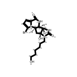 O=C1N[C@@H]2[C@@H](C[C@]3(O)[C@H]2NC(=O)N3CCCCCCO)n2c(Br)ccc21